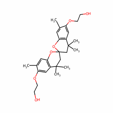 Cc1cc2c(cc1OCCO)C(C)(C)CC1(CC(C)(C)c3cc(OCCO)c(C)cc3O1)O2